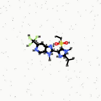 CCS(=O)(=O)c1c(-c2nc3cc(C(F)(F)F)ncc3n2C)nc(C(C)C)n1C